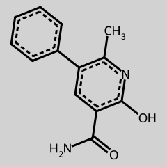 Cc1nc(O)c(C(N)=O)cc1-c1ccccc1